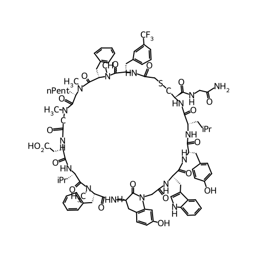 CCCCC[C@H]1C(=O)N(C)CC(=O)N[C@@H](CC(=O)O)C(=O)N[C@@H](C(C)C)C(=O)N(C)[C@@H](Cc2ccccc2)C(=O)N[C@H]2Cc3ccc(O)cc3N(CC(=O)N[C@@H](Cc3c[nH]c4ccccc34)C(=O)N[C@@H](Cc3ccc(O)cc3)C(=O)N[C@@H](CC(C)C)C(=O)N[C@H](C(=O)NCC(N)=O)CSCC(=O)N[C@@H](Cc3cccc(C(F)(F)F)c3)C(=O)N(C)[C@@H](Cc3ccccc3)C(=O)N1C)C2=O